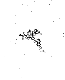 CCOc1ccc2c(O[C@@H]3CC(C(=O)N[C@@H](CC4CC4)C(O)C(=O)NC4CC4)N(C(=O)OC(C)(C)C)C3)nccc2c1